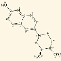 C[C@H]1CN(c2cnc3nc(O)ccc3c2)CCN1C(=O)O